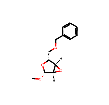 CO[C@@H]1O[C@H](COCc2ccccc2)[C@H]2O[C@@H]12